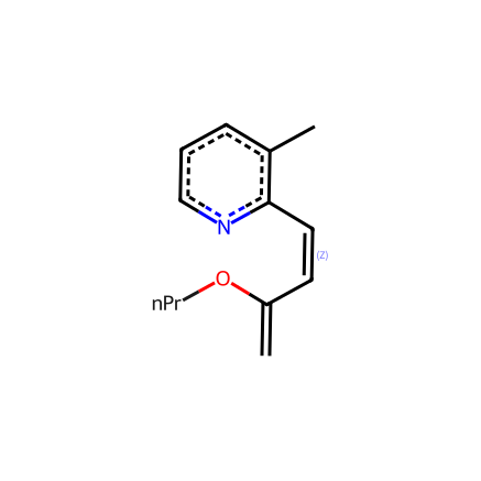 C=C(/C=C\c1ncccc1C)OCCC